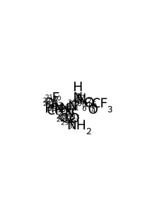 C[C@@H](OC(=O)C(F)(F)F)c1n[nH]c2c1CN(c1nc(NCc3c(F)cccc3C(F)(F)F)c3cccc(C(N)=O)c3n1)C2